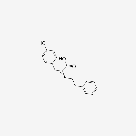 O=C(O)[C@@H](CCCc1ccccc1)Cc1ccc(O)cc1